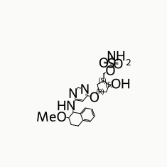 COC1CCc2ccccc2C1Nc1cc(O[C@@H]2C[C@@H](COS(N)(=O)=O)[C@@H](O)C2)ncn1